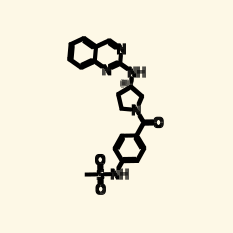 CS(=O)(=O)Nc1ccc(C(=O)N2CC[C@@H](Nc3ncc4ccccc4n3)C2)cc1